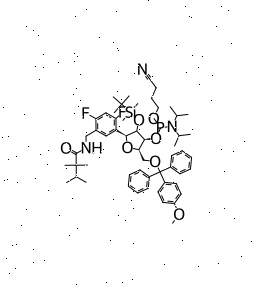 COc1ccc(C(OC[C@H]2O[C@@H](c3cc(CNC(=O)C(C)(C)C(C)C)c(F)cc3F)C(O[Si](C)(C)C(C)(C)C)[C@H]2OP(OCCCC#N)N(C(C)C)C(C)C)(c2ccccc2)c2ccccc2)cc1